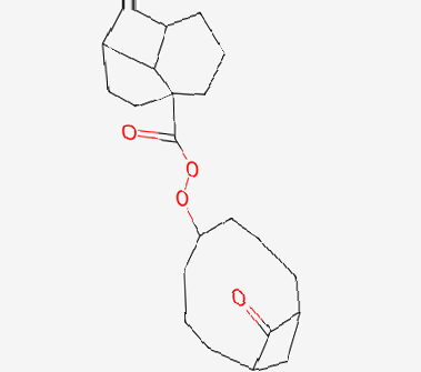 O=C1C2CCCC(OOC(=O)C34CCCC5CC(CC3)C54)CCCC1C2